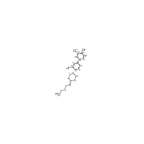 CCCCC[C@H]1CC[C@H](c2ccc(-c3cnc(Cl)c(Cl)c3)cc2F)CC1